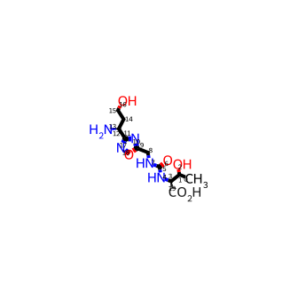 CC(O)[C@H](NC(=O)NCc1nc([C@@H](N)CCO)no1)C(=O)O